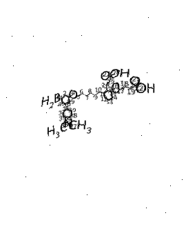 Bc1cc(OCCCCCCc2cccc(OCCCC(=O)O)c2CCC(=O)O)cc(-c2ccc(N(C)C)cc2)c1